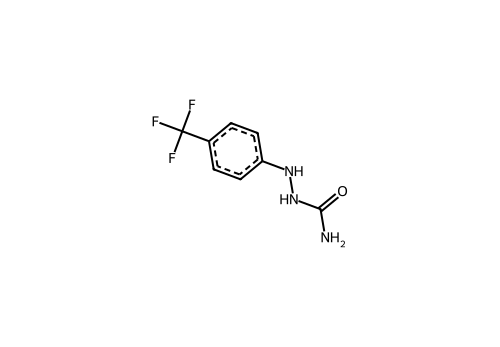 NC(=O)NNc1ccc(C(F)(F)F)cc1